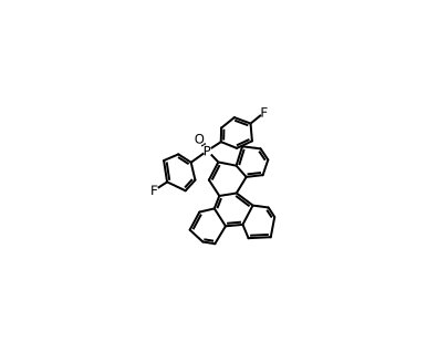 O=P(c1ccc(F)cc1)(c1ccc(F)cc1)c1cc2c3ccccc3c3ccccc3c2c2ccccc12